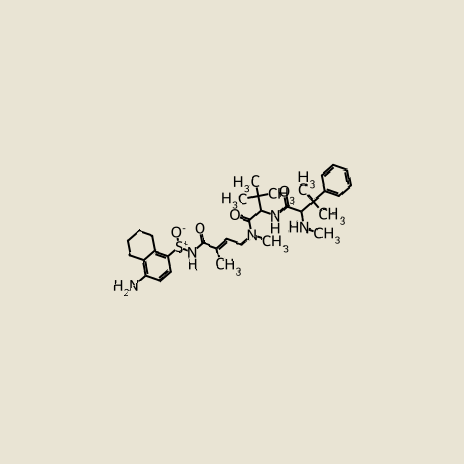 CNC(C(=O)NC(C(=O)N(C)C/C=C(\C)C(=O)N[S+]([O-])c1ccc(N)c2c1CCCC2)C(C)(C)C)C(C)(C)c1ccccc1